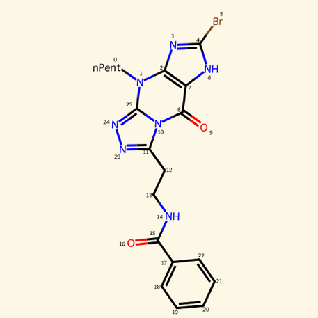 CCCCCn1c2nc(Br)[nH]c2c(=O)n2c(CCNC(=O)c3ccccc3)nnc12